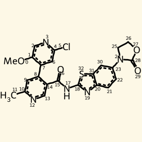 COc1cnc(Cl)cc1-c1cc(C)ncc1C(=O)Nc1nc2ccc(N3CCOC3=O)cc2s1